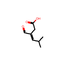 CC(C)/C=C(/C=O)CC(=O)O